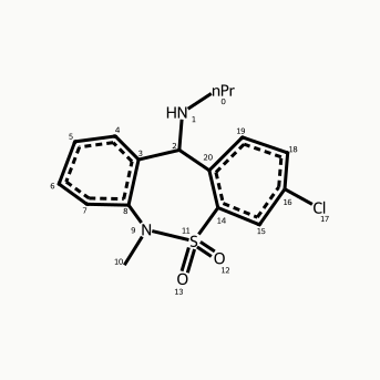 CCCNC1c2ccccc2N(C)S(=O)(=O)c2cc(Cl)ccc21